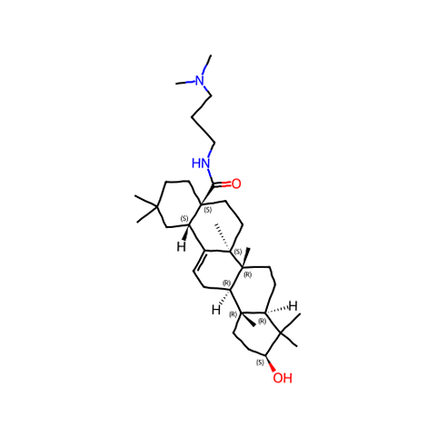 CN(C)CCCNC(=O)[C@]12CCC(C)(C)C[C@H]1C1=CC[C@@H]3[C@@]4(C)CC[C@H](O)C(C)(C)[C@@H]4CC[C@@]3(C)[C@]1(C)CC2